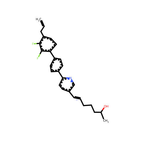 C=CCc1ccc(-c2ccc(-c3ccc(/C=C/CCCC(C)O)cn3)cc2)c(F)c1F